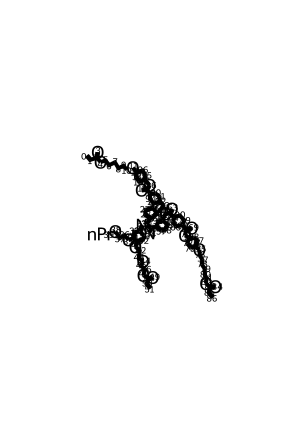 C=CC(=O)OCCCCCCOc1ccc(OC(=O)C2CCC(COc3cccc(-c4nc5cc(OCCOCCC)c(OCCOCCOC(=O)C=C)cc5nc4-c4cccc(OC(=O)C5CCC(C(=O)Oc6ccc(OCCCCCCOC(=O)C=C)cc6)CC5)c4)c3)CC2)cc1